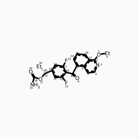 CCOc1nccc2c(C(=O)c3c(F)cc([C@@H](CC)OC(N)=O)cc3F)cccc12